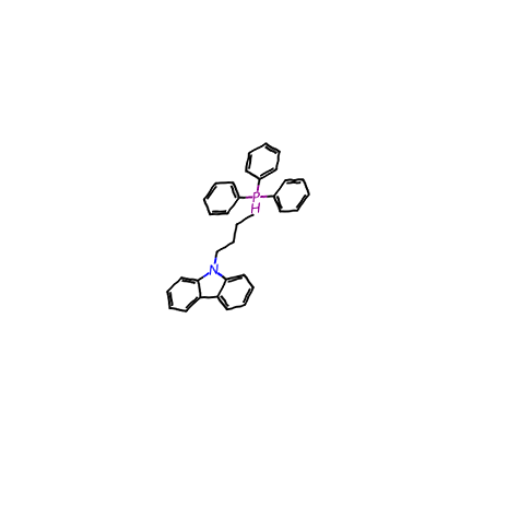 c1ccc([PH](CCCCn2c3ccccc3c3ccccc32)(c2ccccc2)c2ccccc2)cc1